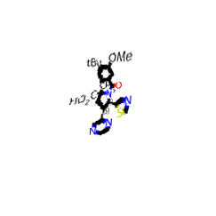 COc1cc(C(=O)N2[C@@H](c3cncs3)[C@@H](c3cnccn3)C[C@@]2(C)C(=O)O)ccc1C(C)(C)C